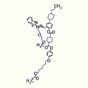 C=CC(=O)OCCCCCCOc1ccc(OC(=O)C2CCC(C(=O)Oc3ccc(C4CCC(CCC)CC4)cc3/C=N/N(CCOCCOC)c3nc4ccccc4s3)CC2)cc1